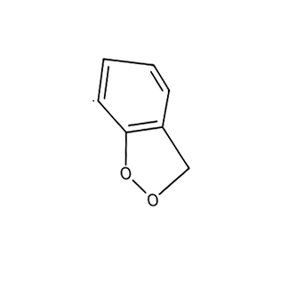 [c]1cccc2c1OOC2